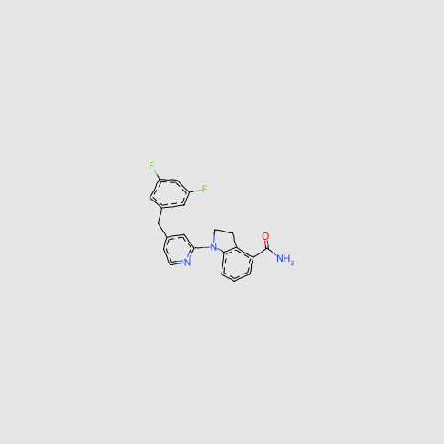 NC(=O)c1cccc2c1CCN2c1cc(Cc2cc(F)cc(F)c2)ccn1